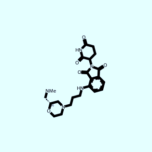 CNC[C@@H]1CN(CCCNc2cccc3c2C(=O)N(C2CCC(=O)NC2=O)C3=O)CCO1